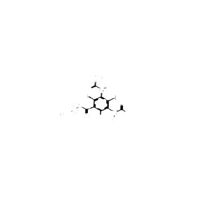 CC(=O)N(C)c1c(I)c(C(=O)NS(C)(=O)=O)c(I)c(N(C)C(C)=O)c1I